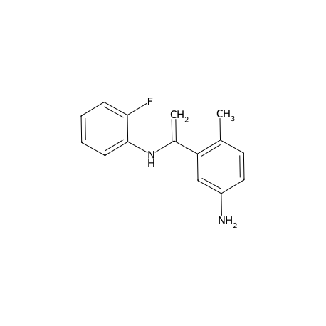 C=C(Nc1ccccc1F)c1cc(N)ccc1C